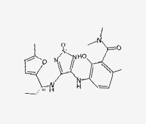 CC[C@@H](Nc1n[s+]([O-])nc1Nc1ccc(C)c(C(=O)N(C)C)c1O)c1ccc(C)o1